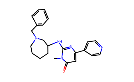 Cn1c(NC2CCCCN(Cc3ccccc3)C2)nc(-c2ccncc2)cc1=O